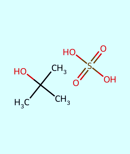 CC(C)(C)O.O=S(=O)(O)O